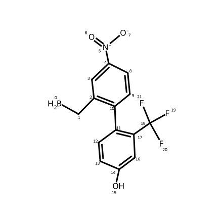 BCc1cc([N+](=O)[O-])ccc1-c1ccc(O)cc1C(F)(F)F